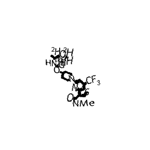 [2H]C([2H])([2H])OC([2H])([2H])C(C)NC(=O)OC1CCN(c2cc(C(F)(F)F)c3scc(C(=O)NC)c3n2)CC1